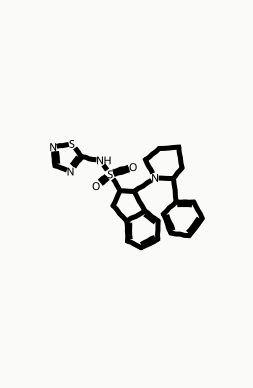 O=S(=O)(Nc1ncns1)C1Cc2ccccc2C1N1CCCCC1c1ccccc1